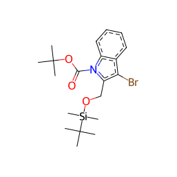 CC(C)(C)OC(=O)n1c(CO[Si](C)(C)C(C)(C)C)c(Br)c2ccccc21